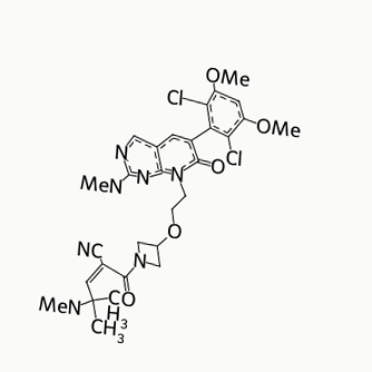 CNc1ncc2cc(-c3c(Cl)c(OC)cc(OC)c3Cl)c(=O)n(CCOC3CN(C(=O)/C(C#N)=C\C(C)(C)NC)C3)c2n1